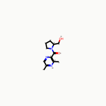 Cc1cnc(C(=O)N2CCCC2CO)c(C)n1